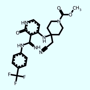 COC(=O)N1CCC(CC#N)(Nc2cc[nH]c(=O)c2C(=N)Nc2ccc(C(F)(F)F)cc2)CC1